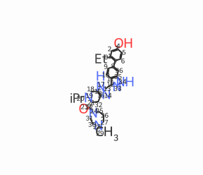 CCc1cc(O)ccc1-c1ccc2c(-c3nc4c([nH]3)CN(C(C)C)[C@H](C(=O)N3CCCN(C)CC3)C4)n[nH]c2c1